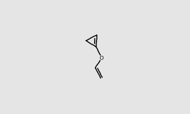 C=COC1=CC1